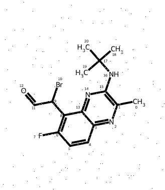 Cc1nc2ccc(F)c(C(Br)C=O)c2nc1NC(C)(C)C